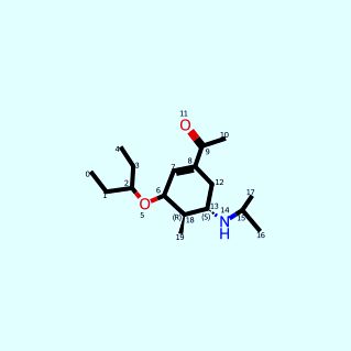 CCC(CC)OC1C=C(C(C)=O)C[C@H](NC(C)C)[C@H]1C